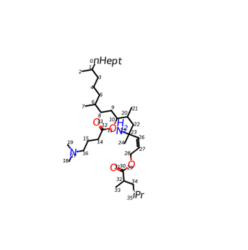 CCCCCCCC(C)CCCC(C)CCC(OC(=O)CCCN(C)C)C(C)CC(C)(N)/C=C\COC(=O)C(C)CC(C)C